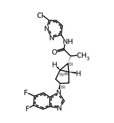 CC(C(=O)Nc1ccc(Cl)nn1)[C@@H]1[C@@H]2C[C@@H](n3cnc4cc(F)c(F)cc43)C[C@@H]21